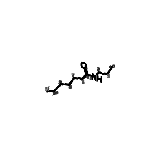 [CH2]CCNC(=O)CCCCCC